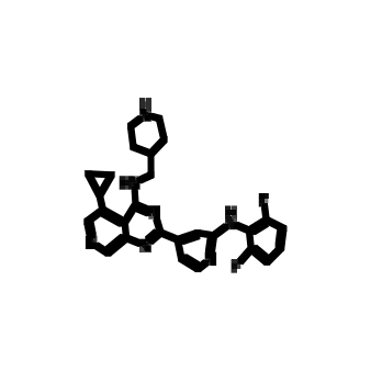 Fc1cccc(F)c1Nc1cc(-c2nc(NCC3CCNCC3)c3c(C4CC4)cncc3n2)ccn1